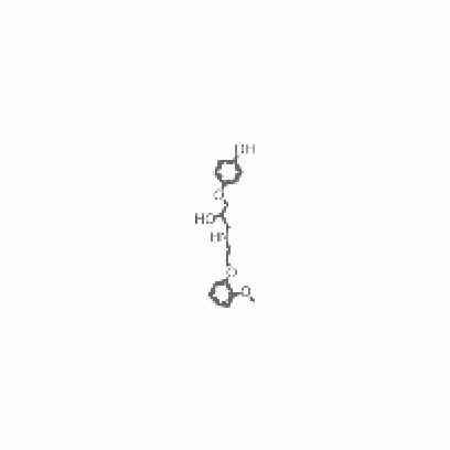 COc1ccccc1OCCNCC(O)COc1ccc(O)cc1